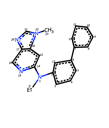 CCN(c1cccc(-c2cc[c]cc2)c1)c1cc2c(cn1)ncn2C